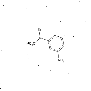 CCN(C(=O)O)c1cccc(N)c1